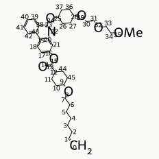 C=CCCCCCCOC1CCC(C(=O)Oc2ccc3c(c2)nc(OC2CCC(OCCOCCOC)CC2)c2ccccc23)CC1